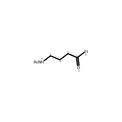 CCC(=O)CCCNC(C)=O